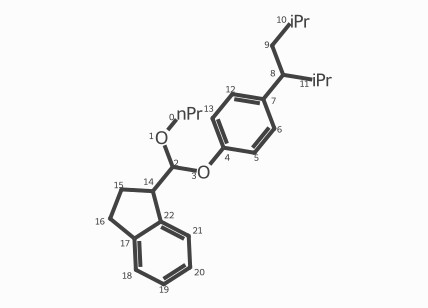 CCCOC(Oc1ccc(C(CC(C)C)C(C)C)cc1)C1CCc2ccccc21